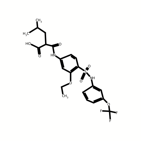 CCOc1cc(NC(=O)C(CC(C)C)C(=O)O)ccc1S(=O)(=O)Nc1cccc(OC(F)(F)F)c1